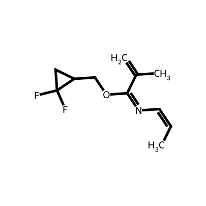 C=C(C)/C(=N\C=C/C)OCC1CC1(F)F